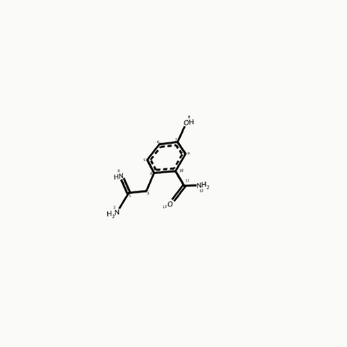 N=C(N)[CH]c1ccc(O)cc1C(N)=O